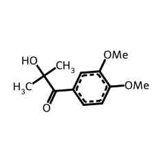 COc1ccc(C(=O)C(C)(C)O)cc1OC